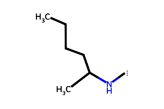 [C]NC(C)CCCC